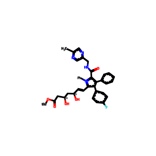 Cc1cnc(CNC(=O)c2c(-c3ccccc3)c(-c3ccc(F)cc3)c(C=C[C@@H](O)C[C@@H](O)CC(=O)OC(C)(C)C)n2C(C)C)cn1